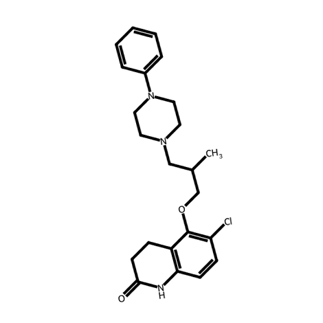 CC(COc1c(Cl)ccc2c1CCC(=O)N2)CN1CCN(c2ccccc2)CC1